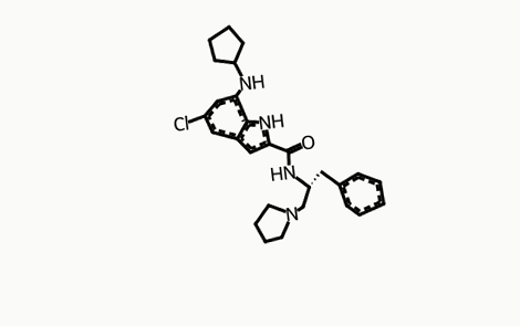 O=C(N[C@H](Cc1ccccc1)CN1CCCC1)c1cc2cc(Cl)cc(NC3CCCC3)c2[nH]1